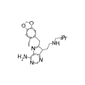 CC(C)CNCCC1C(Cc2cc3c(cc2I)OCO3)=Nc2c(N)ncnc21